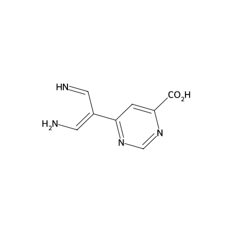 N=C/C(=C\N)c1cc(C(=O)O)ncn1